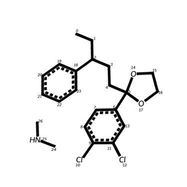 CCC(CCC1(c2ccc(Cl)c(Cl)c2)OCCO1)c1ccccc1.CNC